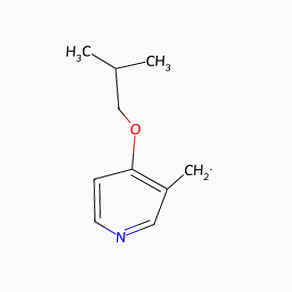 [CH2]c1cnccc1OCC(C)C